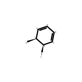 C[C@H]1C=CC=C[C@H]1I